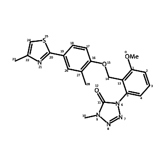 COc1cccc(-n2nnn(C)c2=O)c1COc1ccc(-c2nc(C)cs2)cc1C